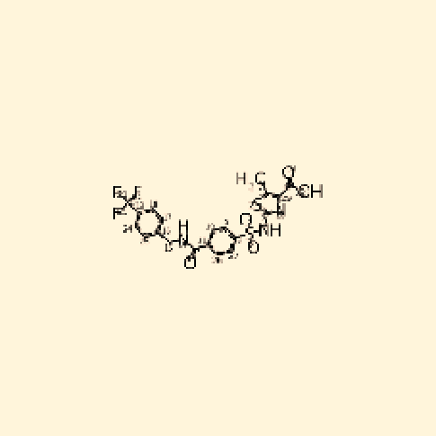 Cc1sc(NS(=O)(=O)c2ccc(C(=O)NCc3ccc(C(F)(F)F)cc3)cc2)nc1C(=O)O